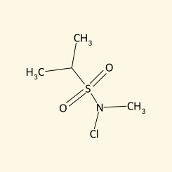 CC(C)S(=O)(=O)N(C)Cl